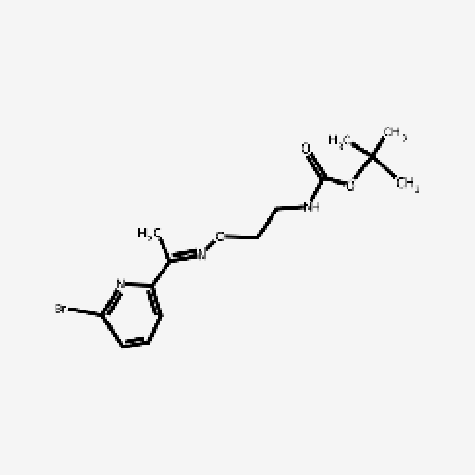 C/C(=N\OCCNC(=O)OC(C)(C)C)c1cccc(Br)n1